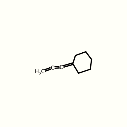 C=C=C=C1CCCCC1